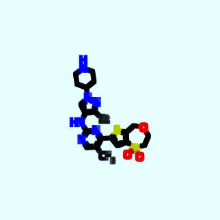 CCc1nn(C2CCNCC2)cc1Nc1ncc(C(F)(F)F)c(-c2cc3c(s2)COCCS3(=O)=O)n1